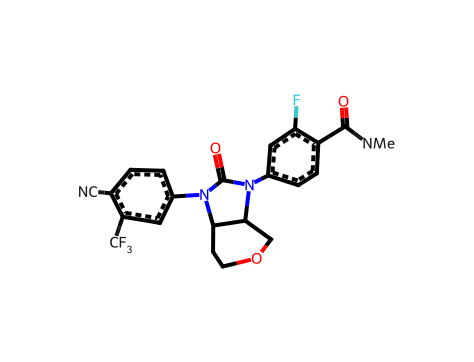 CNC(=O)c1ccc(N2C(=O)N(c3ccc(C#N)c(C(F)(F)F)c3)C3CCOCC32)cc1F